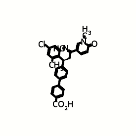 Cc1cc(Cl)ccc1[C@@H](C/C(=N\O)c1ccc(=O)n(C)c1)c1ccc(-c2ccc(C(=O)O)cc2)cc1